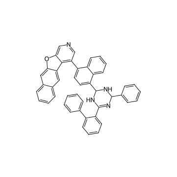 c1ccc(-c2ccccc2C2=NC(c3ccccc3)NC(c3ccc(-c4cncc5oc6cc7ccccc7cc6c45)c4ccccc34)N2)cc1